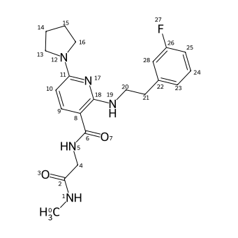 CNC(=O)CNC(=O)c1ccc(N2CCCC2)nc1NCCc1cccc(F)c1